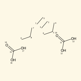 CC.CC.CCC.CCC.O=C(O)O.O=C(O)O